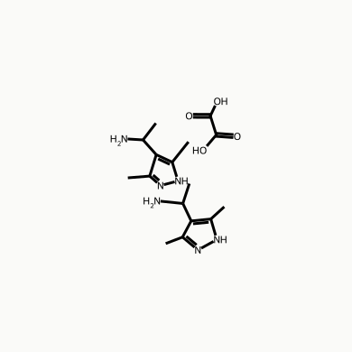 Cc1n[nH]c(C)c1C(C)N.Cc1n[nH]c(C)c1C(C)N.O=C(O)C(=O)O